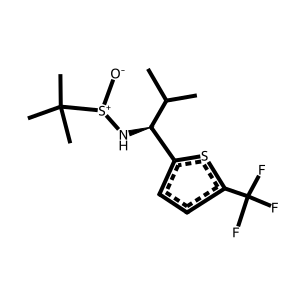 CC(C)[C@H](N[S+]([O-])C(C)(C)C)c1ccc(C(F)(F)F)s1